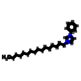 CCCCCCCCCCCCCCCC[n+]1ccn(-c2ccccc2)c1